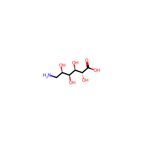 NC[C@@H](O)[C@H](O)[C@@H](O)[C@@H](O)C(=O)O